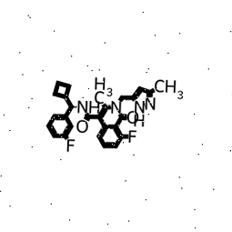 Cc1cc(Cn2c(C)c(C(=O)N[C@H](c3cccc(F)c3)C3CCC3)c3cccc(F)c3c2=O)[nH]n1